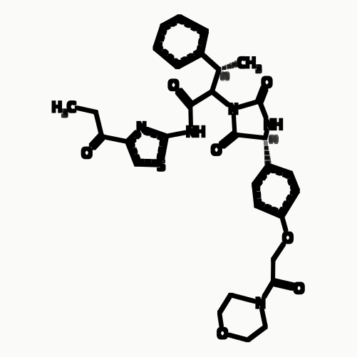 CCC(=O)c1csc(NC(=O)C([C@@H](C)c2ccccc2)N2C(=O)N[C@H](c3ccc(OCC(=O)N4CCOCC4)cc3)C2=O)n1